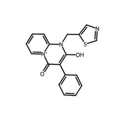 O=c1c(-c2ccccc2)c(O)n(Cc2cncs2)c2cccc[n+]12